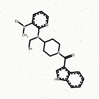 CCN(C)c1cccnc1N(CC(C)C)C1CCN(C(=O)c2c[nH]c3ccccc23)CC1